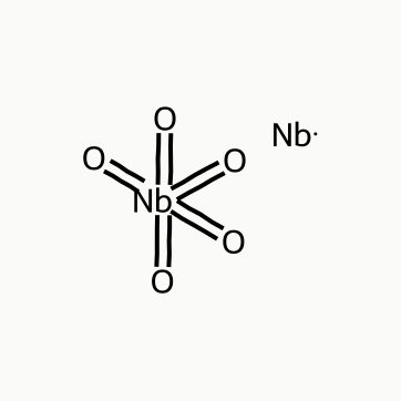 [Nb].[O]=[Nb](=[O])(=[O])(=[O])=[O]